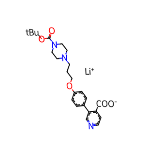 CC(C)(C)OC(=O)N1CCN(CCCOc2ccc(-c3cnccc3C(=O)[O-])cc2)CC1.[Li+]